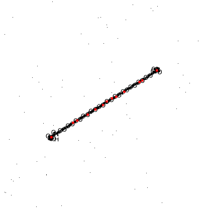 O=C(CCOCCOCCOCCOCCOCCOCCOCCOCCOCCOCCOCCOCCOCCOCCOCCOCCOCCOCCOCCOCCOCCOCCOCCOCCNC(=O)CCN1C(=O)C=CC1=O)CN1C(=O)CCC1=O